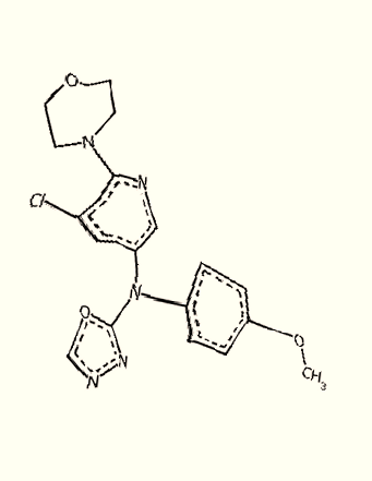 COc1ccc(N(c2cnc(N3CCOCC3)c(Cl)c2)c2nnco2)cc1